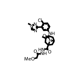 COCC(=O)NNC(=O)C12CC(C)CCC(C1)N2C(=O)Nc1ccc(Cl)c(-c2ncn(C)n2)c1